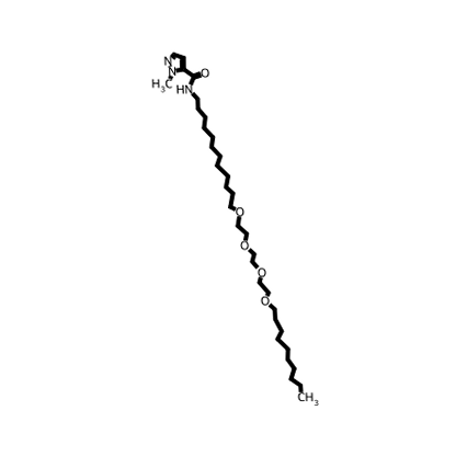 CCCCCCCCCCOCCOCCOCCOCCCCCCCCCCCCNC(=O)c1ccnn1C